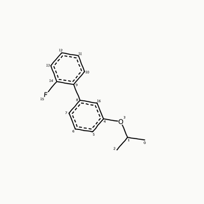 CC(C)Oc1cccc(-c2ccccc2F)c1